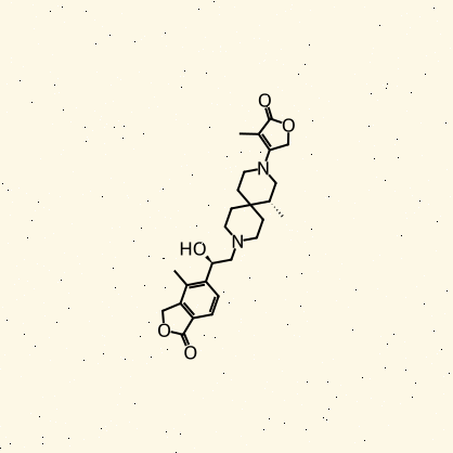 CC1=C(N2CCC3(CCN(C[C@H](O)c4ccc5c(c4C)COC5=O)CC3)[C@@H](C)C2)COC1=O